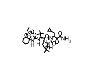 CCS(=O)(=O)CC1(NC(=O)N[C@H](C(=O)N2CC3[C@@H]([C@H]2C(=O)NC(CC2CC2)C(=O)C(N)=O)C3(C)C)C(C)(C)C)CCCCC1